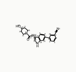 N#Cc1cccc(-c2ccc3c(NC(=O)N4CCC(O)CC4)n[nH]c3c2)c1